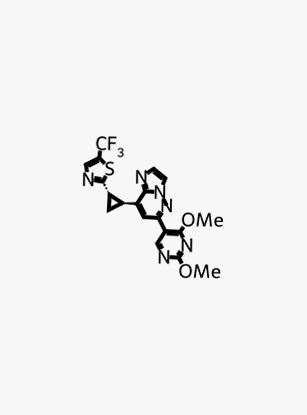 COc1ncc(-c2cc([C@H]3C[C@@H]3c3ncc(C(F)(F)F)s3)c3nccn3n2)c(OC)n1